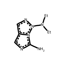 CCN(CC)n1ncc2cnc(N)n21